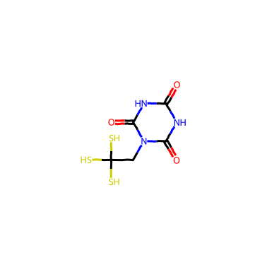 O=c1[nH]c(=O)n(CC(S)(S)S)c(=O)[nH]1